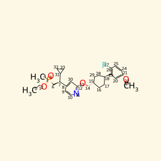 CCOP(C)(=O)C[C@H](c1ccnc(OC[C@H]2CC[C@H](c3cc(OC)ccc3F)CC2)c1)C1CC1